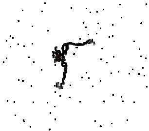 CCCCCCCCC1CCC(C(OC(c2ccc(F)c(F)c2)C2CCC(CCCCCCCC)CC2)c2ccc(F)c(F)c2)CC1